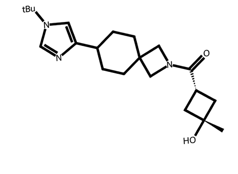 CC(C)(C)n1cnc(C2CCC3(CC2)CN(C(=O)[C@H]2C[C@@](C)(O)C2)C3)c1